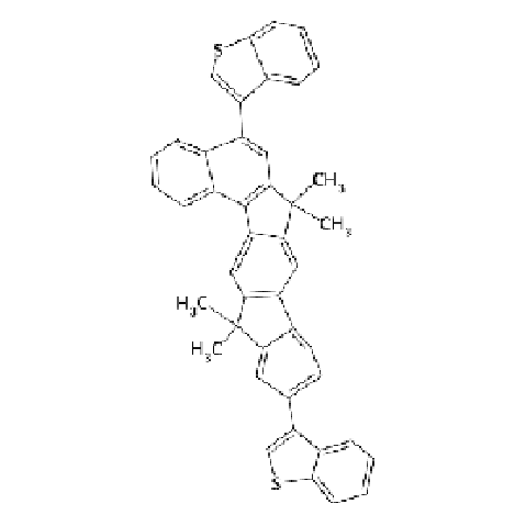 CC1(C)c2cc(-c3csc4ccccc34)ccc2-c2cc3c(cc21)-c1c(cc(-c2csc4ccccc24)c2ccccc12)C3(C)C